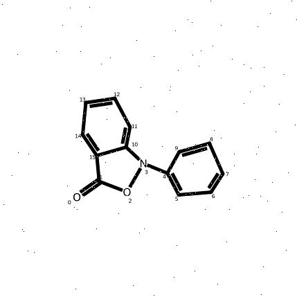 O=c1on(-c2ccccc2)c2ccccc12